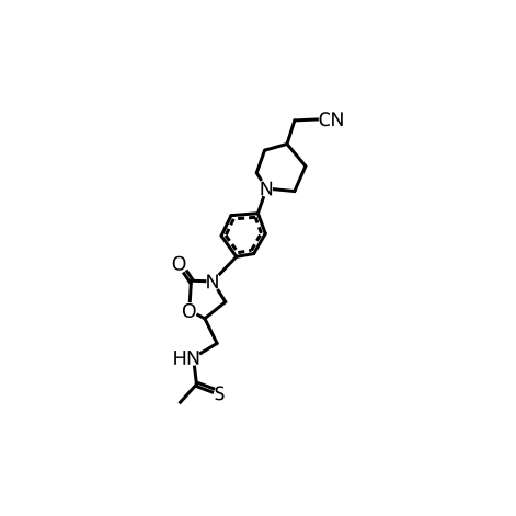 CC(=S)NCC1CN(c2ccc(N3CCC(CC#N)CC3)cc2)C(=O)O1